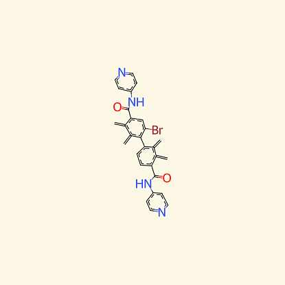 C=c1c(C(=O)Nc2ccncc2)ccc(-c2c(Br)cc(C(=O)Nc3ccncc3)c(=C)c2=C)c1=C